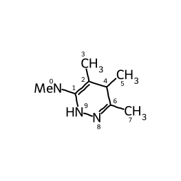 CNC1=C(C)C(C)C(C)=NN1